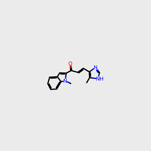 Cc1[nH]cnc1/C=C/C(=O)c1cc2ccccc2n1C